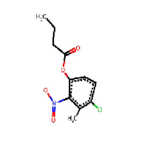 CCCC(=O)Oc1ccc(Cl)c(C)c1[N+](=O)[O-]